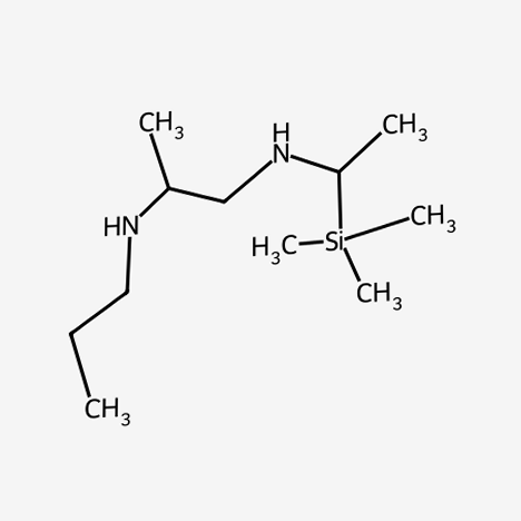 CCCNC(C)CNC(C)[Si](C)(C)C